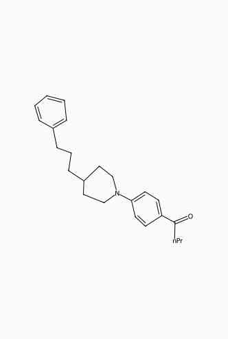 CCCC(=O)c1ccc(N2CCC(CCCc3ccccc3)CC2)cc1